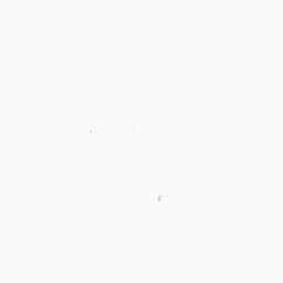 C=C(C=O)c1ccoc1C(C)C